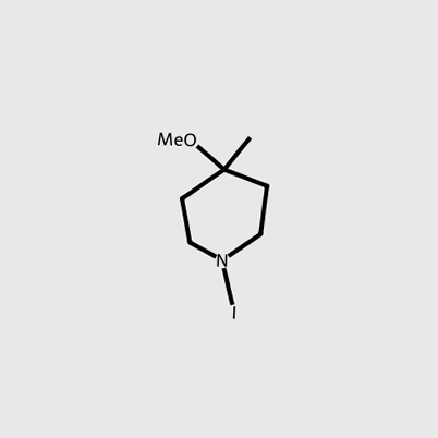 COC1(C)CCN(I)CC1